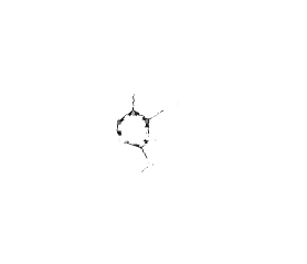 CC(C)Nc1ncc(Cl)c(C(F)(F)F)n1